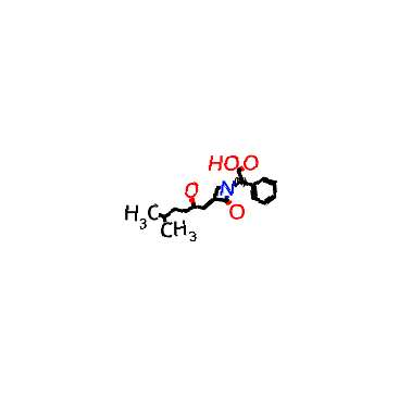 CC(C)CCC(=O)CC1CN([C@@H](C(=O)O)c2ccccc2)C1=O